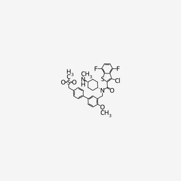 CN[C@H]1CC[C@H](N(Cc2cc(-c3ccc(CS(C)(=O)=O)cc3)ccc2OC)C(=O)c2sc3c(F)ccc(F)c3c2Cl)CC1